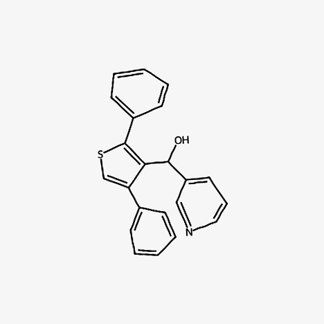 OC(c1cccnc1)c1c(-c2ccccc2)csc1-c1ccccc1